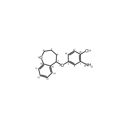 Nc1cc(OC2CCCOc3ccccc32)ccc1Cl